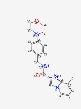 Cc1cccn2cc(C(=O)NCc3ccc(N4CCOCC4)cc3)nc12